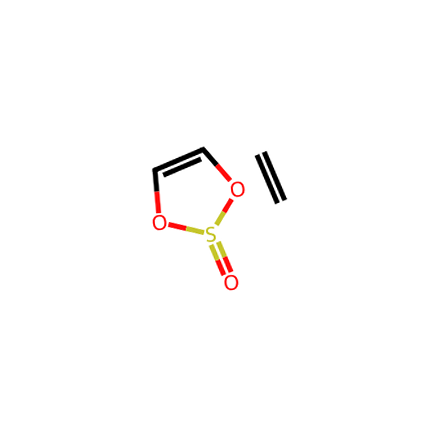 C=C.O=S1OC=CO1